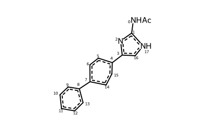 CC(=O)Nc1nc(-c2ccc(-c3ccccc3)cc2)c[nH]1